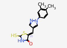 Cc1ccc(-n2cc(/C=C3\SC(S)NC3=O)cn2)cc1C